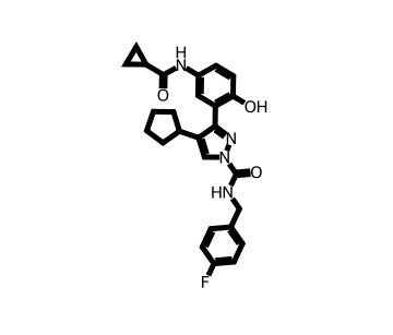 O=C(Nc1ccc(O)c(-c2nn(C(=O)NCc3ccc(F)cc3)cc2C2CCCC2)c1)C1CC1